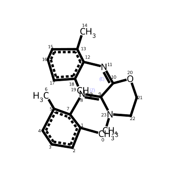 Cc1cccc(C)c1/N=C1/C(=N\c2c(C)cccc2C)OCCN1C